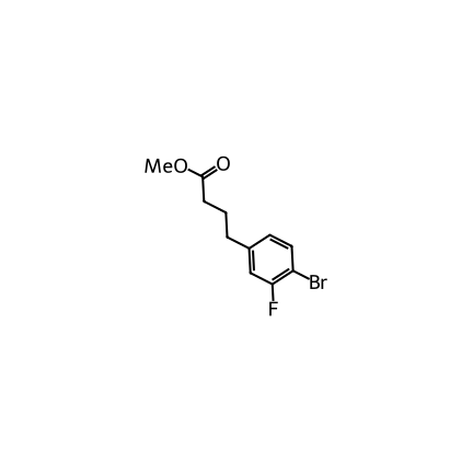 COC(=O)CCCc1ccc(Br)c(F)c1